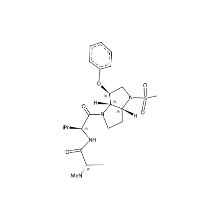 CN[C@@H](C)C(=O)N[C@H](C(=O)N1CC[C@@H]2[C@H]1[C@@H](Oc1ccccc1)CN2S(C)(=O)=O)C(C)C